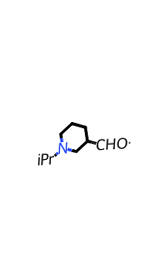 CC(C)N1CCCC([C]=O)C1